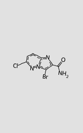 NC(=O)c1nc2ccc(Cl)nn2c1Br